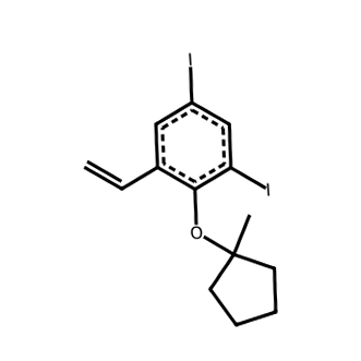 C=Cc1cc(I)cc(I)c1OC1(C)CCCC1